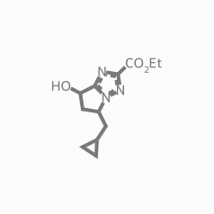 CCOC(=O)c1nc2n(n1)C(CC1CC1)CC2O